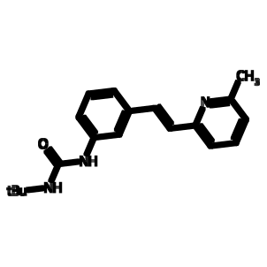 Cc1cccc(C=Cc2cccc(NC(=O)NC(C)(C)C)c2)n1